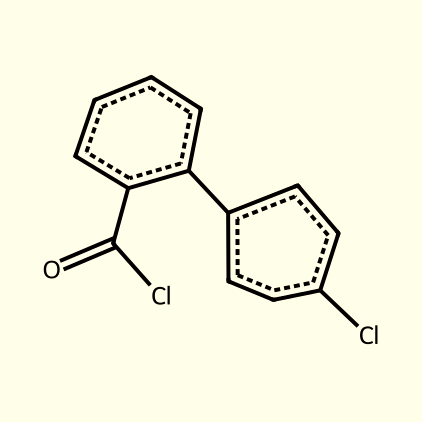 O=C(Cl)c1ccccc1-c1ccc(Cl)cc1